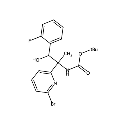 CC(C)(C)OC(=O)NC(C)(c1cccc(Br)n1)C(O)c1ccccc1F